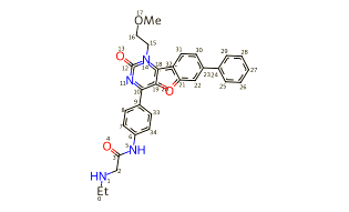 CCNCC(=O)Nc1ccc(-c2nc(=O)n(CCOC)c3c2oc2cc(-c4ccccc4)ccc23)cc1